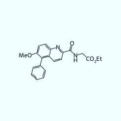 CCOC(=O)CNC(=O)c1ccc2c(-c3ccccc3)c(OC)ccc2n1